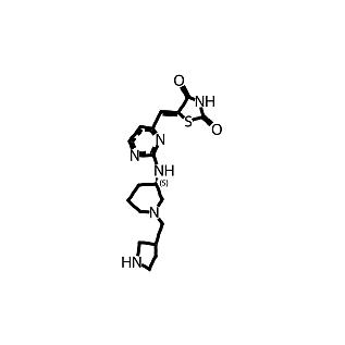 O=C1NC(=O)C(=Cc2ccnc(N[C@H]3CCCN(CC4CCNC4)C3)n2)S1